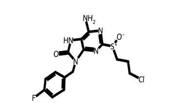 Nc1nc([S+]([O-])CCCCl)nc2c1[nH]c(=O)n2Cc1ccc(F)cc1